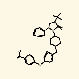 CC(C)(C)N1CC(c2ccccc2)N(C2CCN(Cc3ccc(Sc4ccc(C(=O)O)cc4)nc3)CC2)C1=O